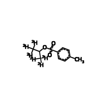 [2H]C([2H])([2H])C(OS(=O)(=O)c1ccc(C)cc1)C([2H])([2H])[2H]